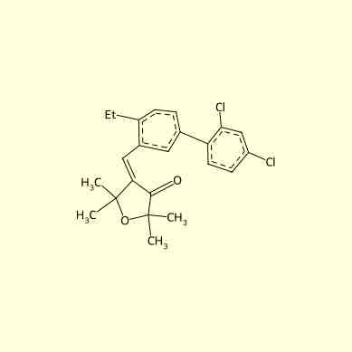 CCc1ccc(-c2ccc(Cl)cc2Cl)cc1C=C1C(=O)C(C)(C)OC1(C)C